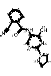 N#Cc1ccccc1C(=O)Nc1cnc(N2CCC=N2)nc1O